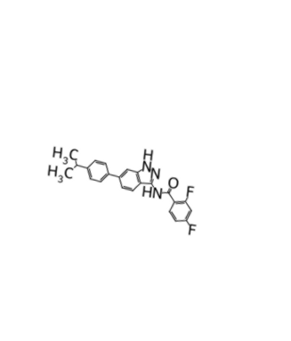 CC(C)c1ccc(-c2ccc3c(NC(=O)c4ccc(F)cc4F)n[nH]c3c2)cc1